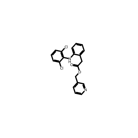 O=C(Cc1ccccc1Nc1c(Cl)cccc1Cl)OCc1cccnc1